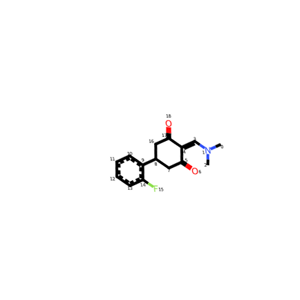 CN(C)C=C1C(=O)CC(c2ccccc2F)CC1=O